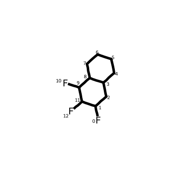 FC1CC2CCCCC2C(F)C1F